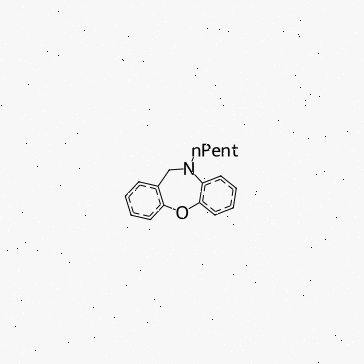 CCCCCN1Cc2ccccc2Oc2ccccc21